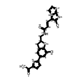 CC(=O)c1ccc(-c2cc(Cl)c3c(c2)CC(CNC(=O)C=Cc2c(Cl)nc4sccn24)O3)s1